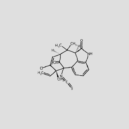 C=C[C@]1(C)C(Cl)=C[C@@H]2C(=O)C1(N=C=S)c1cccc3c1[C@H](C(=O)N3)C2(C)C